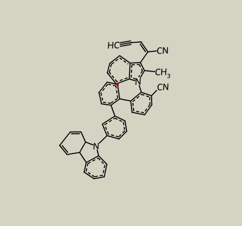 C#C/C=C(/C#N)c1c(C)n(-c2c(C#N)cccc2-c2ccccc2-c2cccc(N3c4ccccc4C4C=CC=CC43)c2)c2ccccc12